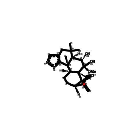 C=C1C(=O)[C@]23[C@H](C)[C@H]1CC[C@H]2[C@]1(C)c2oncc2CC(C)(C)[C@H]1[C@H](O)[C@@]3(O)OC